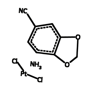 N.N#Cc1ccc2c(c1)OCO2.[Cl][Pt][Cl]